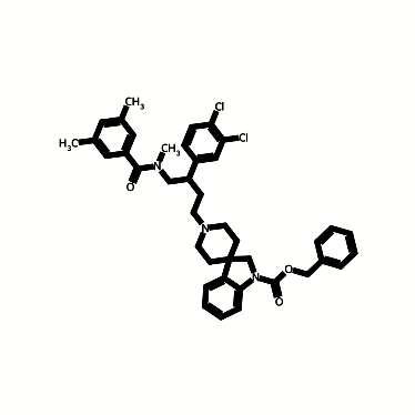 Cc1cc(C)cc(C(=O)N(C)CC(CCN2CCC3(CC2)CN(C(=O)OCc2ccccc2)c2ccccc23)c2ccc(Cl)c(Cl)c2)c1